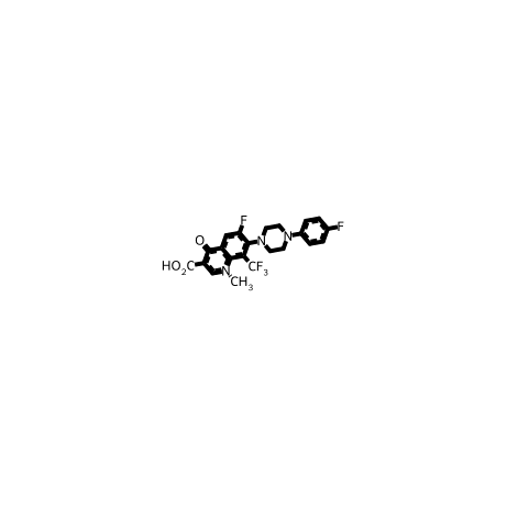 Cn1cc(C(=O)O)c(=O)c2cc(F)c(N3CCN(c4ccc(F)cc4)CC3)c(C(F)(F)F)c21